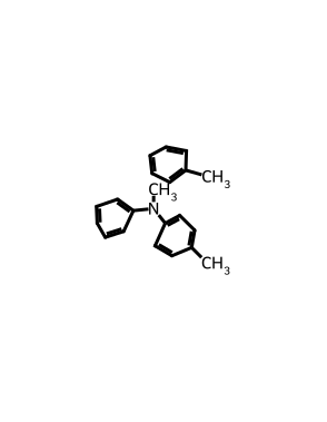 Cc1ccc(N(C)c2ccccc2)cc1.Cc1ccccc1